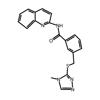 Cn1cnnc1SCc1cccc(C(=O)Nc2ccc3ccccc3n2)c1